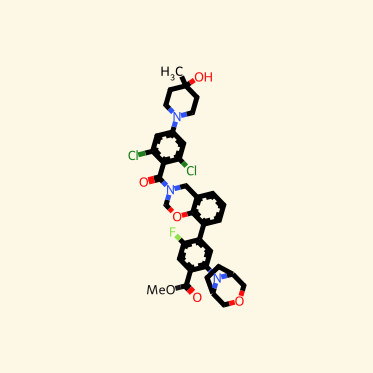 COC(=O)c1cc(F)c(-c2cccc3c2OCN(C(=O)c2c(Cl)cc(N4CCC(C)(O)CC4)cc2Cl)C3)cc1N1C2CCC1COC2